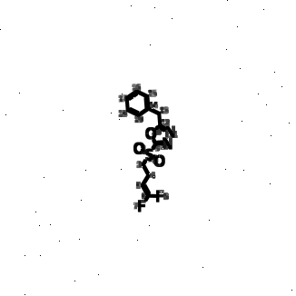 O=S(=O)(CCC=C(F)F)c1nnc(Cc2ccccc2)o1